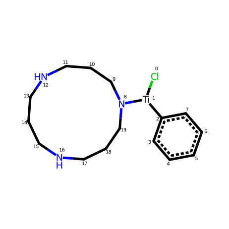 [Cl][Ti]([c]1ccccc1)[N]1CCCNCCCNCCC1